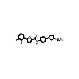 CNC1CCN(c2ccc(NC(=O)c3ccc(-c4cccc(F)c4F)o3)cc2)C1